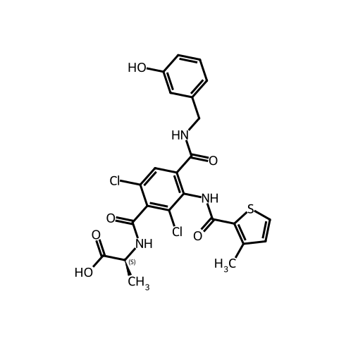 Cc1ccsc1C(=O)Nc1c(C(=O)NCc2cccc(O)c2)cc(Cl)c(C(=O)N[C@@H](C)C(=O)O)c1Cl